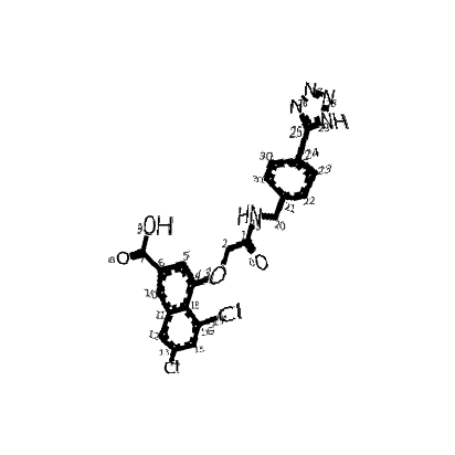 O=C(COc1cc(C(=O)O)cc2cc(Cl)cc(Cl)c12)NCc1ccc(-c2nnn[nH]2)cc1